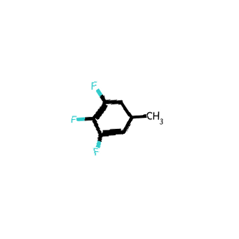 CC1C=C(F)C(F)=C(F)C1